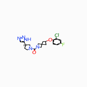 O=C(N1CC[C@@H](c2cnn[nH]2)C1)N1CC2(CC(Oc3ccc(F)cc3Cl)C2)C1